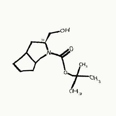 CC(C)(C)OC(=O)N1C2CCCC2C[C@H]1CO